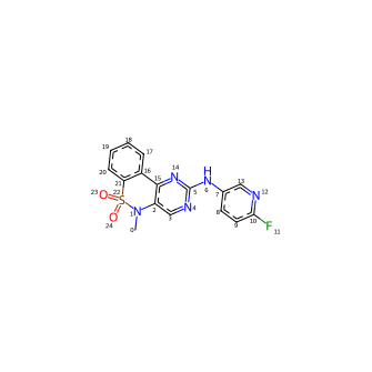 CN1c2cnc(Nc3ccc(F)nc3)nc2-c2ccccc2S1(=O)=O